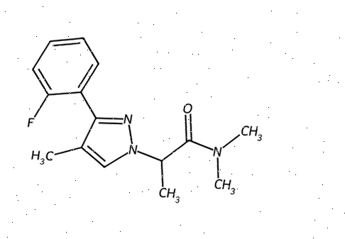 Cc1cn(C(C)C(=O)N(C)C)nc1-c1ccccc1F